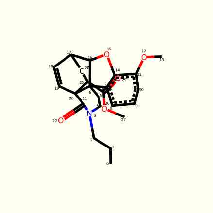 CCCN1CCC23c4cccc(OC)c4OC2C2C=CC3(C1=O)C(C(=O)OC)C2